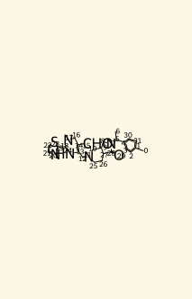 Cc1ccc(C(C)N2CC3CN(CC4=C(C=O)CN=C(c5nccs5)N4)CCC3C2=O)cc1